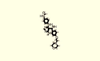 CNc1ncnc(Nc2ccc(NC=O)cc2)c1C(=N)c1ccc(OCCN2CCOCC2)cc1